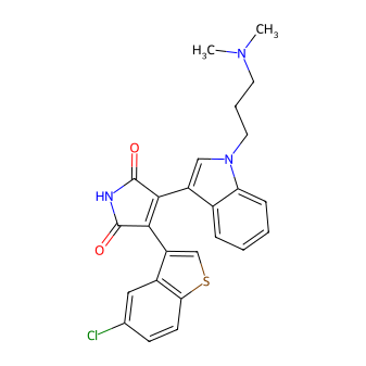 CN(C)CCCn1cc(C2=C(c3csc4ccc(Cl)cc34)C(=O)NC2=O)c2ccccc21